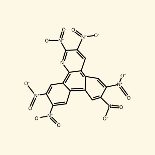 O=[N+]([O-])c1cc2c3cc([N+](=O)[O-])c([N+](=O)[O-])cc3c3nc([N+](=O)[O-])c([N+](=O)[O-])cc3c2cc1[N+](=O)[O-]